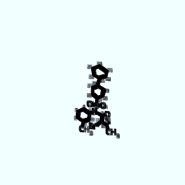 Cc1cccc(N(c2onc(C)c2Br)S(=O)(=O)c2ccc(-c3ccccc3)cc2)c1